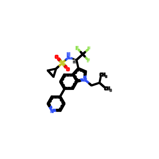 CC(C)Cn1cc([C@H](NS(=O)(=O)C2CC2)C(F)(F)F)c2ccc(-c3ccncc3)cc21